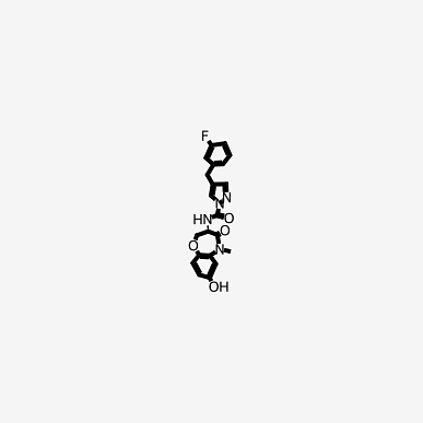 CN1C(=O)[C@@H](NC(=O)n2cc(Cc3cccc(F)c3)cn2)COc2ccc(O)cc21